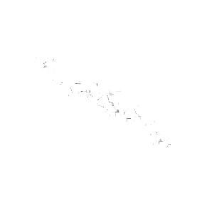 CCC(=O)OCCCOc1ccc(C(=O)Oc2ccc(OC(=O)c3ccc(OCCCOC(=O)CC)cc3)c(C)c2)cc1